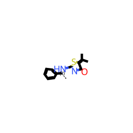 CC(C)=C1SC(N[C@H](C)c2ccccc2)=NC1=O